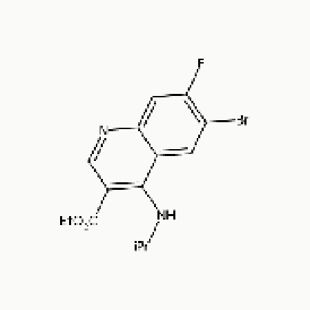 CCOC(=O)c1cnc2cc(F)c(Br)cc2c1NC(C)C